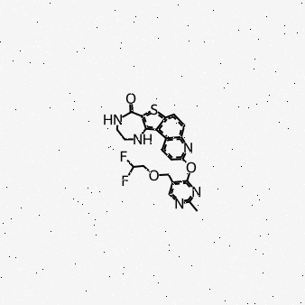 Cc1ncc(COCC(F)F)c(Oc2ccc3c(ccc4sc5c(c43)NCCNC5=O)n2)n1